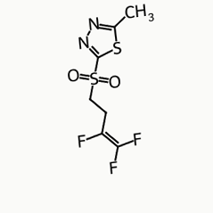 Cc1nnc(S(=O)(=O)CCC(F)=C(F)F)s1